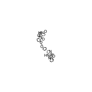 CN1C[C@H](Nc2nc3ccccn3c(=O)c2Br)C[C@H](c2ccc(OCCOc3cccc4c3C(=O)N(C3CCC(=O)NC3=O)C4=O)cc2)C1